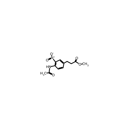 COC(=O)CCc1ccc(NC(C)=O)c([N+](=O)[O-])c1